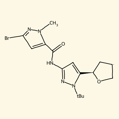 Cn1nc(Br)cc1C(=O)Nc1cc([C@H]2C[CH]CO2)n(C(C)(C)C)n1